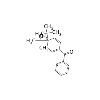 CC(C)(C)C1(C(C)(C)C)C=CC(C(=O)c2ccccc2)=CC1